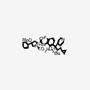 CO[C@]1(c2ccccc2)C[C@H](C(=O)Nc2cc(C(CCC3CC3)(c3ccncc3)[S@@+]([O-])C(C)(C)C)ccc2F)N(C(=O)O)C1